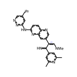 CN/C=C(\C(=N)c1cc(C)nc(C)c1)c1cnc2ccc(Nc3cc(C(C)C)cnn3)nc2c1